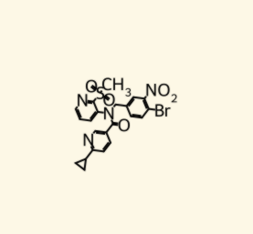 CS(=O)(=O)c1ncccc1N(Cc1ccc(Br)c([N+](=O)[O-])c1)C(=O)c1ccc(C2CC2)nc1